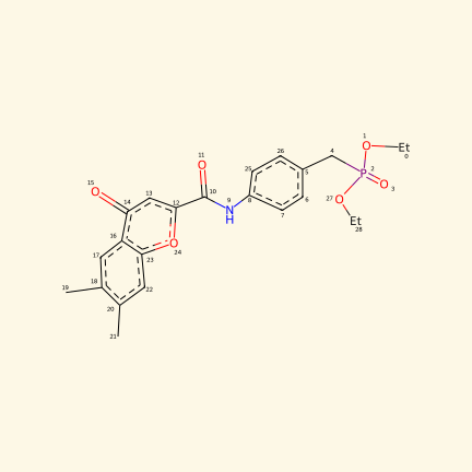 CCOP(=O)(Cc1ccc(NC(=O)c2cc(=O)c3cc(C)c(C)cc3o2)cc1)OCC